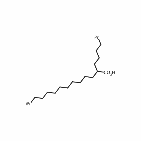 CC(C)CCCCCCCCCCC(CCCCC(C)C)C(=O)O